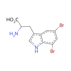 NC(Cc1c[nH]c2c(Br)cc(Br)cc12)C(=O)O